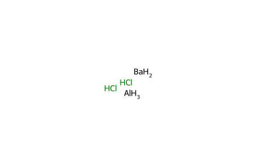 Cl.Cl.[AlH3].[BaH2]